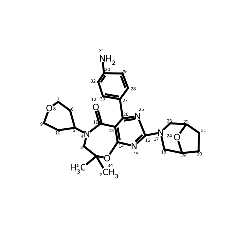 CC1(C)CN(C2CCOCC2)C(=O)c2c(nc(N3CC4CCC(C3)O4)nc2-c2ccc(N)cc2)O1